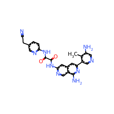 Cc1c(N)cncc1-c1cc2cc(NC(=O)C(=O)Nc3ccc(CC#N)cn3)ncc2c(N)n1